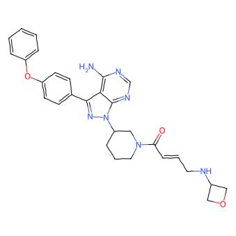 Nc1ncnc2c1c(-c1ccc(Oc3ccccc3)cc1)nn2C1CCCN(C(=O)C=CCNC2COC2)C1